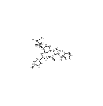 CC(Oc1cc(-c2n[nH]c(Nc3cnccn3)c2C(N)=O)ccc1NS(=O)(=O)C(F)F)c1ccc(F)cc1